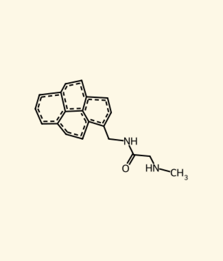 CNCC(=O)NCc1ccc2ccc3cccc4ccc1c2c34